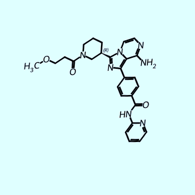 COCCC(=O)N1CCC[C@@H](c2nc(-c3ccc(C(=O)Nc4ccccn4)cc3)c3c(N)nccn23)C1